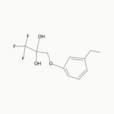 CCc1cccc(OCC(O)(O)C(F)(F)F)c1